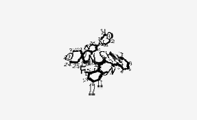 Cc1c(-c2ccccn2)nc2cccc(F)c2c1N1CC2(CCOCC2)c2ncc(N3CCOCC3)cc21